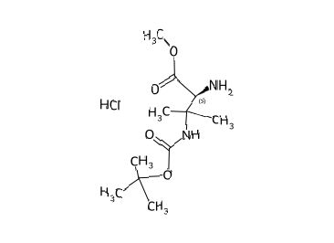 COC(=O)[C@@H](N)C(C)(C)NC(=O)OC(C)(C)C.Cl